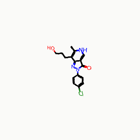 Cc1[nH]cc2c(=O)n(-c3ccc(Cl)cc3)nc-2c1CCCO